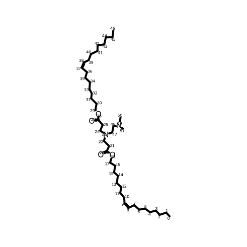 CCCCCCCC/C=C\CCCCCCCCOC(=O)CCN(CCC(=O)OCCCCCCCC/C=C\CCCCCCCC)CCN(C)C